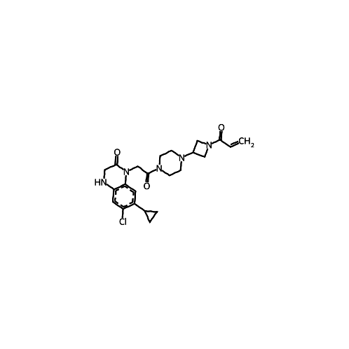 C=CC(=O)N1CC(N2CCN(C(=O)CN3C(=O)CNc4cc(Cl)c(C5CC5)cc43)CC2)C1